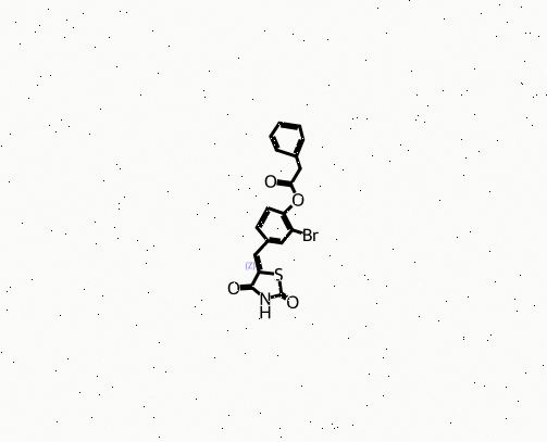 O=C(Cc1ccccc1)Oc1ccc(/C=C2\SC(=O)NC2=O)cc1Br